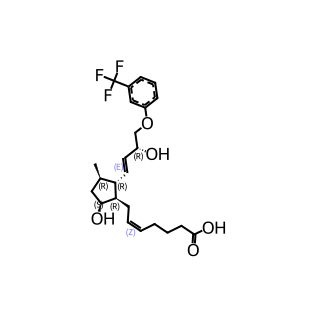 C[C@@H]1C[C@H](O)[C@H](C/C=C\CCCC(=O)O)[C@H]1/C=C/[C@@H](O)COc1cccc(C(F)(F)F)c1